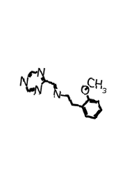 COc1ccccc1CCN=Cc1ncncn1